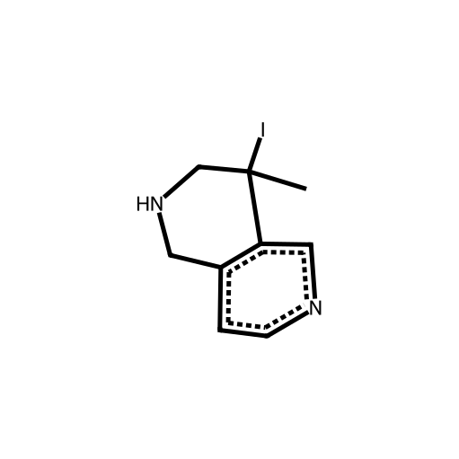 CC1(I)CNCc2ccncc21